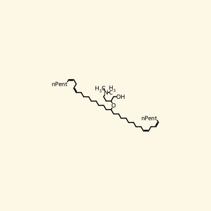 CCCCC/C=C\C/C=C\CCCCCCCCC(CCCCCCCC/C=C\C/C=C\CCCCC)OC(CO)CCN(C)C